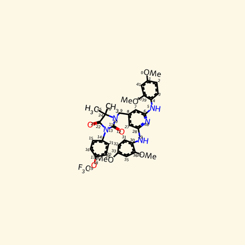 COc1ccc(Nc2cc(CN3C(=O)N(c4ccc(OC(F)(F)F)cc4)C(=O)C3(C)C)cc(Nc3ccc(OC)cc3OC)n2)c(OC)c1